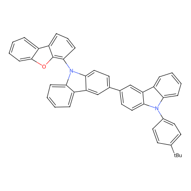 CC(C)(C)c1ccc(-n2c3ccccc3c3cc(-c4ccc5c(c4)c4ccccc4n5-c4cccc5c4oc4ccccc45)ccc32)cc1